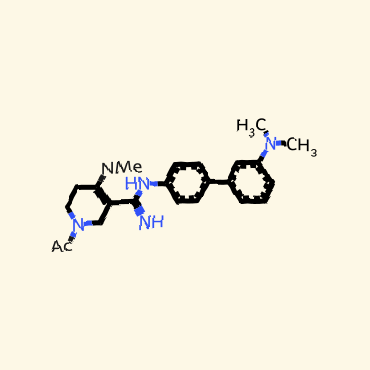 CNC1=C(C(=N)Nc2ccc(-c3cccc(N(C)C)c3)cc2)CN(C(C)=O)CC1